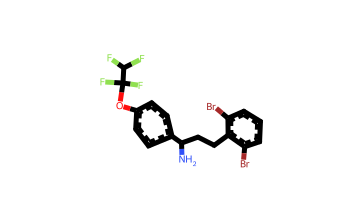 NC(CCc1c(Br)cccc1Br)c1ccc(OC(F)(F)C(F)F)cc1